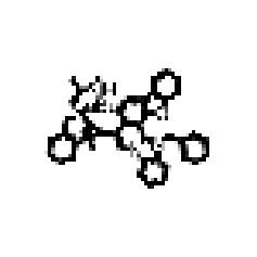 CCCC[N+]1(C=C(C)[SiH2]C)CC2=C(CCCC2)C2(C)C(C3=CN4c5ccccc5N(CC5=CCCC=C5)C4c4c3ccc3c5c(oc43)CCC=C5)C21C